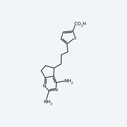 Nc1nc(N)c2c(n1)CCC2CCCc1ccc(C(=O)O)s1